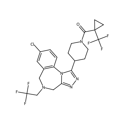 O=C(N1CCC(c2nnc3n2-c2ccc(Cl)cc2CN(CC(F)(F)F)C3)CC1)C1(C(F)(F)F)CC1